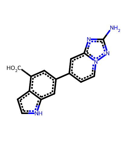 Nc1nc2cc(-c3cc(C(=O)O)c4cc[nH]c4c3)ccn2n1